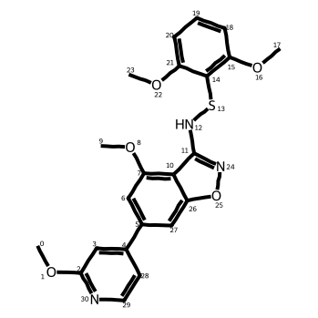 COc1cc(-c2cc(OC)c3c(NSc4c(OC)cccc4OC)noc3c2)ccn1